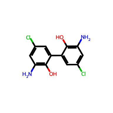 Nc1cc(Cl)cc(-c2cc(Cl)cc(N)c2O)c1O